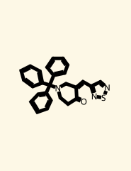 O=C1CCN(C(c2ccccc2)(c2ccccc2)c2ccccc2)CC1=Cc1cnsn1